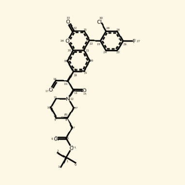 CC(C)(C)OC(=O)C[C@H]1CCCN(C(=O)C(C=O)c2ccc3c(-c4ccc(F)cc4Cl)cc(=O)oc3c2)C1